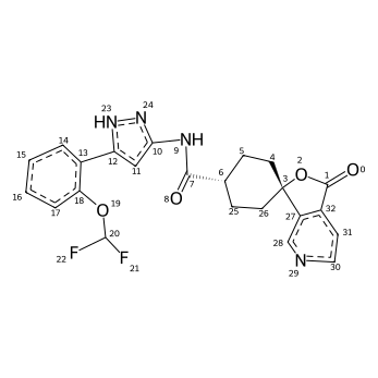 O=C1O[C@]2(CC[C@@H](C(=O)Nc3cc(-c4ccccc4OC(F)F)[nH]n3)CC2)c2cnccc21